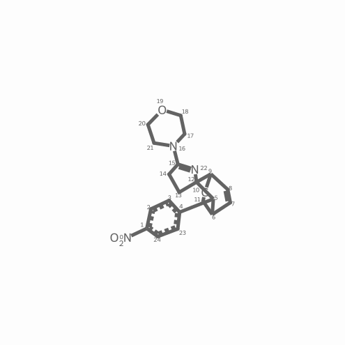 O=[N+]([O-])c1ccc(C2C3C=CC(CC3)C23CCC(N2CCOCC2)=N3)cc1